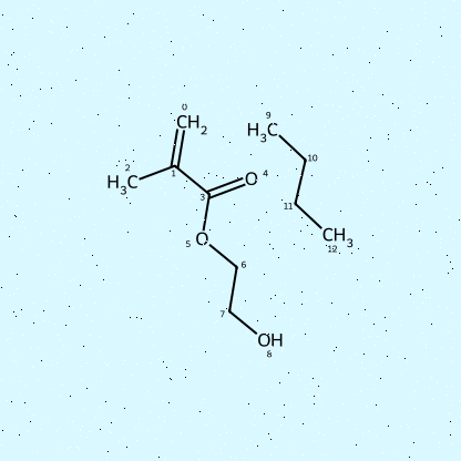 C=C(C)C(=O)OCCO.CCCC